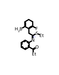 BC1=CCCC(F)=C1C/C(=N\c1ccccc1C(=O)CC)SCC